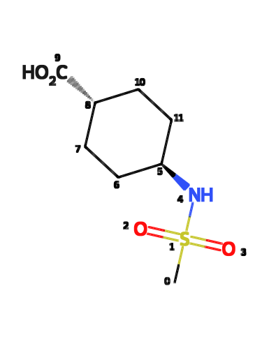 CS(=O)(=O)N[C@H]1CC[C@H](C(=O)O)CC1